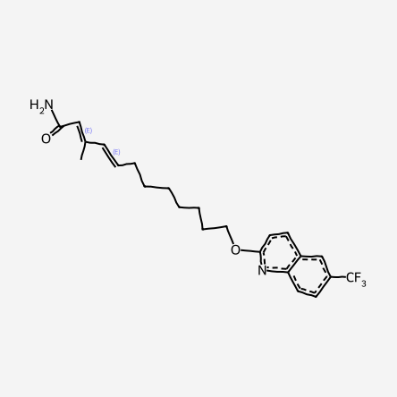 CC(/C=C/CCCCCCCOc1ccc2cc(C(F)(F)F)ccc2n1)=C\C(N)=O